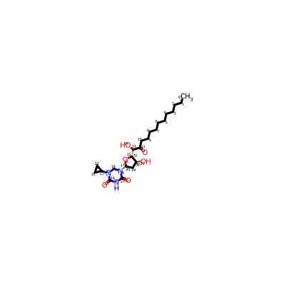 CCCCCCCCCCCC(=O)C(O)[C@H]1O[C@@H](N2CN(C3CC3)C(=O)NC2=O)C[C@@H]1O